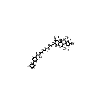 COc1cc2c(N[C@H](C)c3cccc(Br)c3)nc(C)nc2cc1OCCCCCCCNC(=O)Cc1ccc(-c2ccccc2)cc1